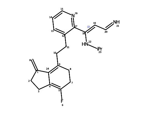 C=C1CCC2=C(F)CCC(CCc3cccnc3/C(=C/C=N)NC(C)C)=C12